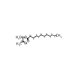 CCCCCCCCCCCC(=O)OC(C)C(C)=O